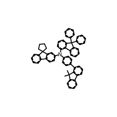 CC1(C)c2ccccc2-c2cccc(-c3ccc(N(c4ccc5c(c4)C4(CCCC4)c4ccccc4-5)c4cccc5c4-c4ccccc4C5(c4ccccc4)c4ccccc4)cc3)c21